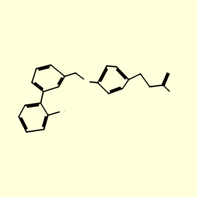 O=C(O)CCc1ccc(OCc2cccc(-c3ccccc3O)c2)cc1